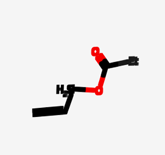 C=C[SiH2]OC(=O)CC